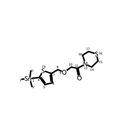 [CH3][Sn]([CH3])([CH3])[c]1ccc(COCC(=O)N2CCSCC2)s1